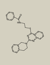 O=C(NCCSc1nc(N2CCc3ccccc3C2)nc2ccccc12)c1ccccc1